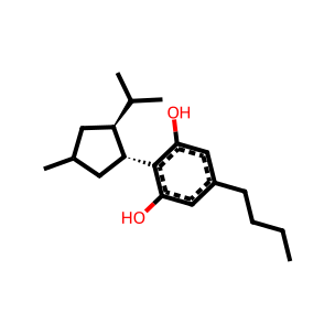 CCCCc1cc(O)c([C@@H]2CC(C)C[C@H]2C(C)C)c(O)c1